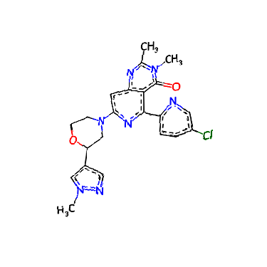 Cc1nc2cc(N3CCOC(c4cnn(C)c4)C3)nc(-c3ccc(Cl)cn3)c2c(=O)n1C